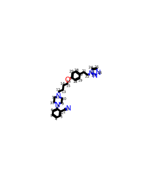 N#Cc1ccccc1N1CCN(CCCCOc2ccc(CCn3ccnn3)cc2)CC1